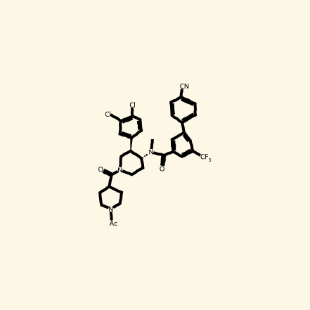 CC(=O)N1CCC(C(=O)N2CC[C@@H](N(C)C(=O)c3cc(-c4ccc(C#N)cc4)cc(C(F)(F)F)c3)[C@H](c3ccc(Cl)c(Cl)c3)C2)CC1